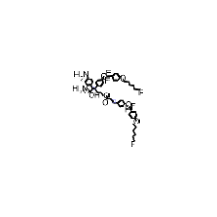 Nc1ccc(/C(C(=O)O)=C(/CCCOC(=O)/C=C/c2ccc(OC(F)(F)c3ccc(OCCCCCCF)cc3)cc2)c2ccc(OC(F)(F)c3ccc(OCCCCCCF)cc3)cc2)c(N)c1